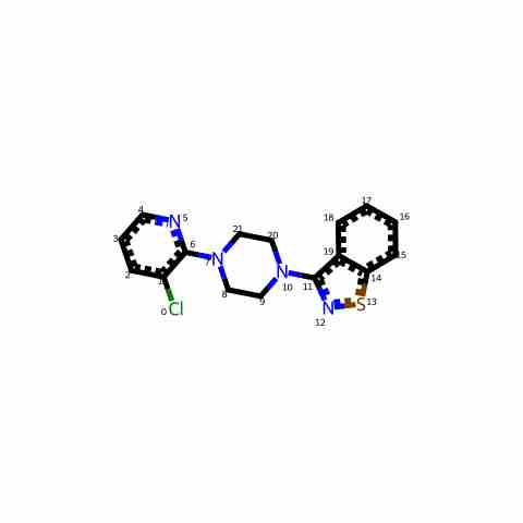 Clc1cccnc1N1CCN(c2nsc3ccccc23)CC1